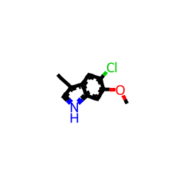 COc1cc2[nH]cc(C)c2cc1Cl